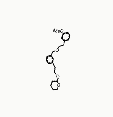 COc1cccc(CCOCc2cccc(CCOC3CCCCO3)c2)c1